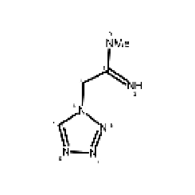 CNC(=N)Cn1[c]nnn1